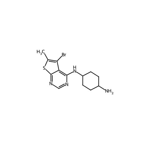 Cc1sc2ncnc(NC3CCC(N)CC3)c2c1Br